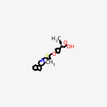 CC#C[C@@H](CC(=O)O)c1ccc(OCc2cc(C)c(CN3CCC4(CCc5ccccc54)CC3)s2)cc1